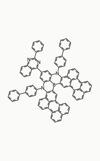 c1ccc(-c2ccc(N3c4cc(-c5nc(-c6ccccc6)nc6ccccc56)cc5c4B(c4cc6c7cccc8cccc(c9cccc(c43)c96)c87)c3cc4c6cccc7cccc(c8cccc(c3N5c3ccc(-c5ccccc5)cc3)c84)c76)cc2)cc1